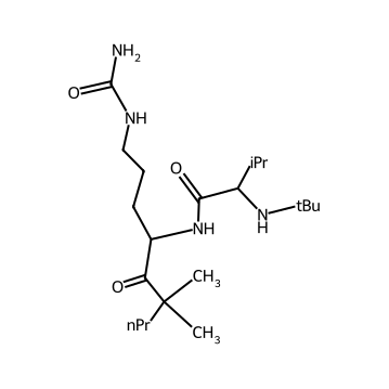 CCCC(C)(C)C(=O)C(CCCNC(N)=O)NC(=O)C(NC(C)(C)C)C(C)C